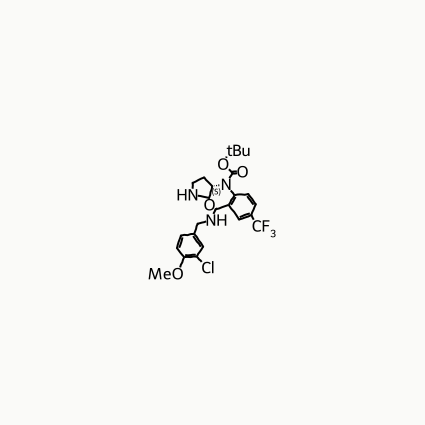 COc1ccc(CNC(=O)c2cc(C(F)(F)F)ccc2N(C(=O)OC(C)(C)C)[C@H]2CCNC2)cc1Cl